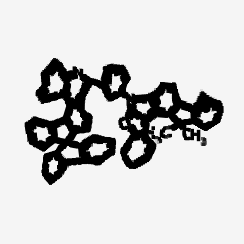 CC1(C)c2ccccc2-c2ccc3c(c21)c1c2ccccc2oc1n3-c1cccc(-c2nc3ccccc3c3c4c(ccc23)C2(c3ccccc3-c3ccccc32)c2ccccc2-4)c1